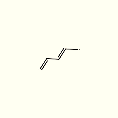 [CH]=CC=C[CH2]